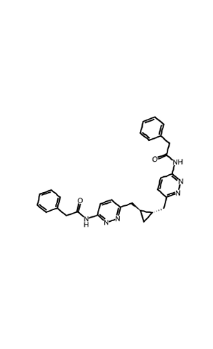 O=C(Cc1ccccc1)Nc1ccc(C[C@@H]2C[C@H]2Cc2ccc(NC(=O)Cc3ccccc3)nn2)nn1